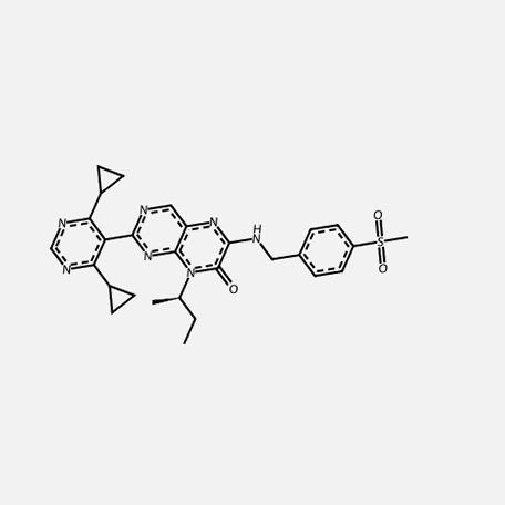 CC[C@@H](C)n1c(=O)c(NCc2ccc(S(C)(=O)=O)cc2)nc2cnc(-c3c(C4CC4)ncnc3C3CC3)nc21